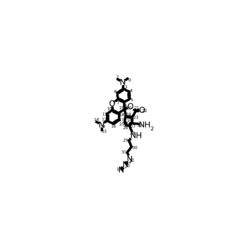 CN(C)c1ccc2c(c1)Oc1cc(N(C)C)ccc1C21OC(=O)c2c1ccc(NCCCN=[N+]=[N-])c2N